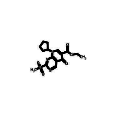 CCOC(=O)c1cn(C2CCCC2)c2nc(S(C)(=O)=O)ncc2c1=O